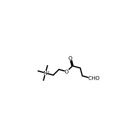 C[N+](C)(C)CCOC(=O)CCC=O